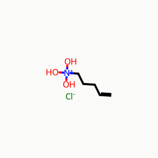 C=CCCC[N+](O)(O)O.[Cl-]